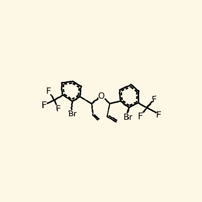 C=CC(OC(C=C)c1cccc(C(F)(F)F)c1Br)c1cccc(C(F)(F)F)c1Br